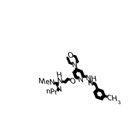 CCCN=C(NC)NCCOc1cc(N2CCOCC2)cc(NN=Cc2cccc(C)c2)n1